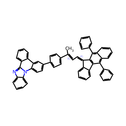 C/C(=C\C=C1/c2ccccc2-c2c1c(-c1ccccc1)c1ccccc1c2-c1ccccc1)c1ccc(-c2ccc3c(c2)c2ccccc2c2nc4ccccc4n32)cc1